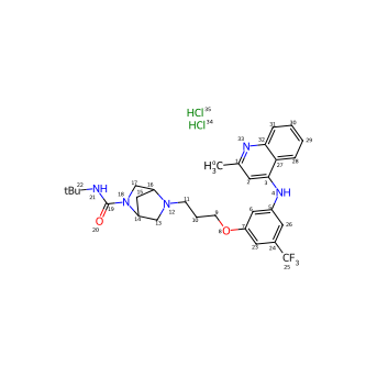 Cc1cc(Nc2cc(OCCCN3CC4CC3CN4C(=O)NC(C)(C)C)cc(C(F)(F)F)c2)c2ccccc2n1.Cl.Cl